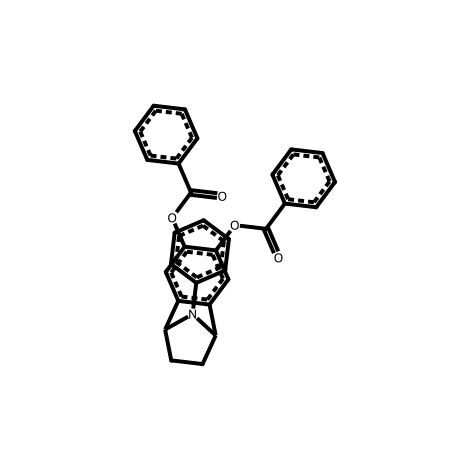 O=C(Oc1cc2c(cc1OC(=O)c1ccccc1)C1CCC2N1c1ccccc1)c1ccccc1